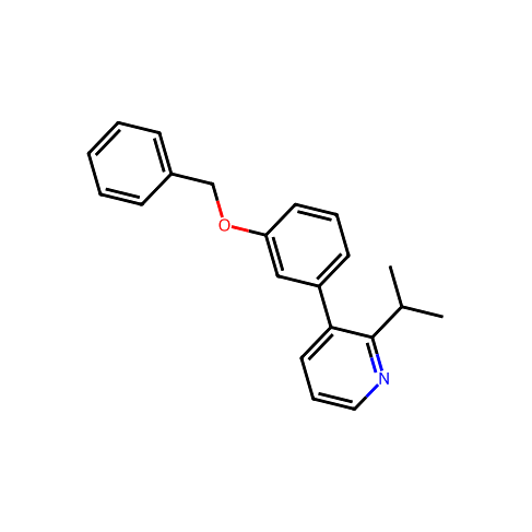 CC(C)c1ncccc1-c1cccc(OCc2ccccc2)c1